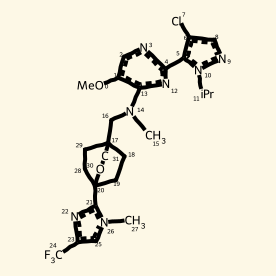 COc1cnc(-c2c(Cl)cnn2C(C)C)nc1N(C)CC12CCC(c3nc(C(F)(F)F)cn3C)(CC1)OC2